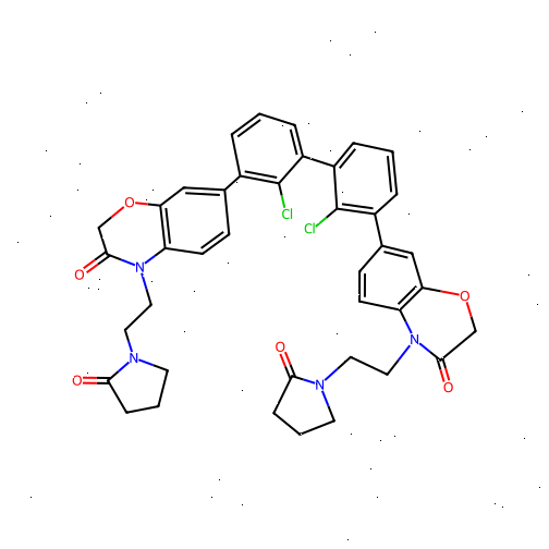 O=C1CCCN1CCN1C(=O)COc2cc(-c3cccc(-c4cccc(-c5ccc6c(c5)OCC(=O)N6CCN5CCCC5=O)c4Cl)c3Cl)ccc21